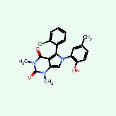 Cc1ccc(O)c(-n2cc3c(c2-c2ccccc2Cl)c(=O)n(C)c(=O)n3C)c1